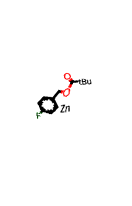 CC(C)(C)C(=O)OCc1ccc(F)cc1.[Zn]